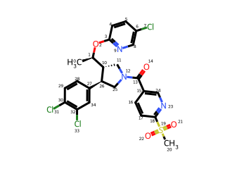 C[C@@H](Oc1ccc(Cl)cn1)[C@@H]1CN(C(=O)c2ccc(S(C)(=O)=O)nc2)C[C@H]1c1ccc(Cl)c(Cl)c1